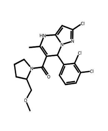 COCC1CCCN1C(=O)C1=C(C)Nc2cc(Cl)nn2C1c1cccc(Cl)c1Cl